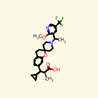 COc1ncc(C(F)(F)F)cc1C(C)N1CCC2(CCc3ccc(C(C4CC4)[C@H](C)C(=O)O)cc3O2)CC1